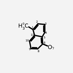 Cc1cccc2c([O])cccc12